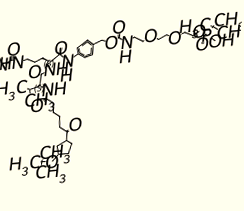 CC(C)[C@H](NC(=O)CCCCC(=O)C1CCC(OC(C)(C)C)C1)C(=O)N[C@@H](CCCNC(N)=O)C(=O)Nc1ccc(COC(=O)NCCOCCOCCOP(=O)(O)C(C)(C)C)cc1